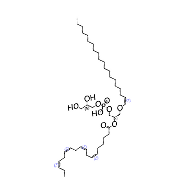 CC/C=C\C/C=C\C/C=C\C/C=C\CCCCC(=O)O[C@H](CO/C=C\CCCCCCCCCCCCCCCCCC)COP(=O)(O)OC[C@@H](O)CO